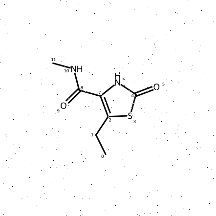 CCc1sc(=O)[nH]c1C(=O)NC